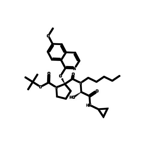 CCCCCN(C(=O)[C@@]1(Oc2nccc3cc(OC)ccc23)CCCN1C(=O)OC(C)(C)C)[C@@H](O)C(=O)NC1CC1